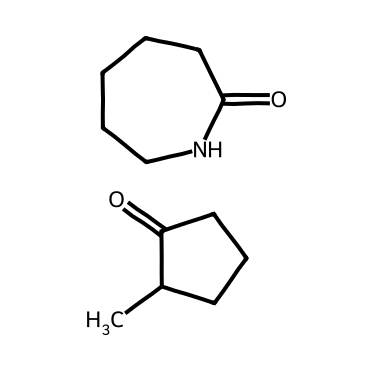 CC1CCCC1=O.O=C1CCCCCN1